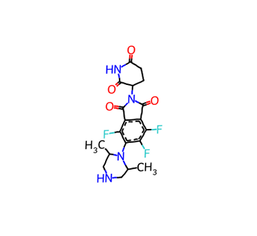 CC1CNCC(C)N1c1c(F)c(F)c2c(c1F)C(=O)N(C1CCC(=O)NC1=O)C2=O